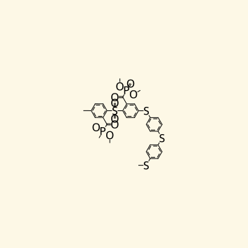 COP(C)(=O)C(=O)c1cc(C)ccc1S(=O)(=O)c1ccc(Sc2ccc(Sc3ccc(SC)cc3)cc2)cc1C(=O)P(=O)(OC)OC